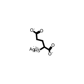 O=C([O-])CCC(S)C(=O)[O-].[Ag+2]